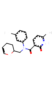 Cc1ccc(C(=O)N(CC2CCC=CO2)c2cccc(C(F)(F)F)c2)c(=O)[nH]1